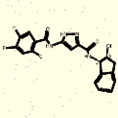 O=C(N[C@@H]1c2ccccc2C[C@@H]1O)c1cc(NC(=O)c2cc(F)c(F)cc2Cl)[nH]n1